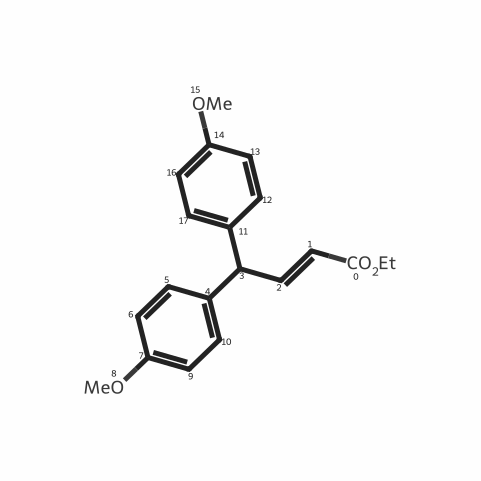 CCOC(=O)C=CC(c1ccc(OC)cc1)c1ccc(OC)cc1